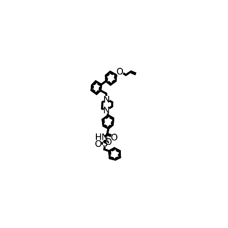 C=CCOc1ccc(-c2ccccc2CN2CCN(c3ccc(C(=O)NS(=O)(=O)Cc4ccccc4)cc3)CC2)cc1